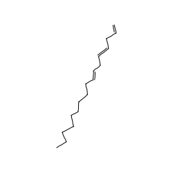 C=CCC=CCC=CCCCCCCCCC